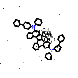 CC(C)(C)C1(C(C)(C)C)c2cc(N(c3ccccc3)c3ccc(-c4ccccc4)cc3)c3ccccc3c2-c2c1c1ccc(N(c3ccccc3)c3cccc(-c4ccccc4)c3)cc1c1ccccc21